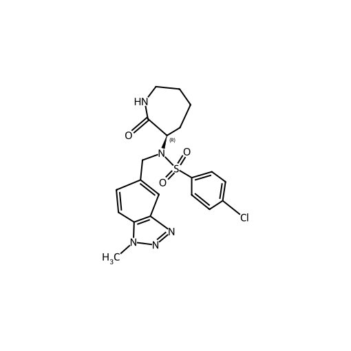 Cn1nnc2cc(CN([C@@H]3CCCCNC3=O)S(=O)(=O)c3ccc(Cl)cc3)ccc21